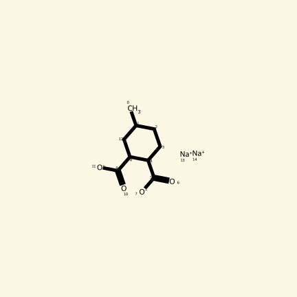 CC1CCC(C(=O)[O-])C(C(=O)[O-])C1.[Na+].[Na+]